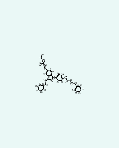 CCOC(=O)C=Cc1ccc2c(c1)c(CCc1ccccc1)cn2-c1ccc(OCCOCc2ccccc2)cc1